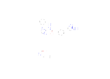 C[C@H]1CCCCN1C(=O)CCCCCc1cn(-c2ccccc2)c(NC(=O)Cc2cccc(-c3cn[nH]c3)c2)n1